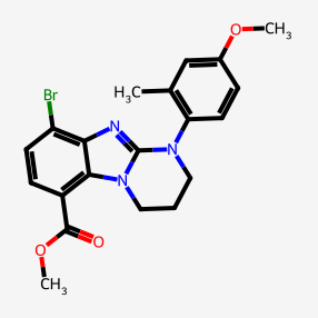 COC(=O)c1ccc(Br)c2nc3n(c12)CCCN3c1ccc(OC)cc1C